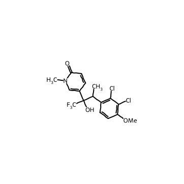 COc1ccc(C(C)C(O)(c2ccc(=O)n(C)c2)C(F)(F)F)c(Cl)c1Cl